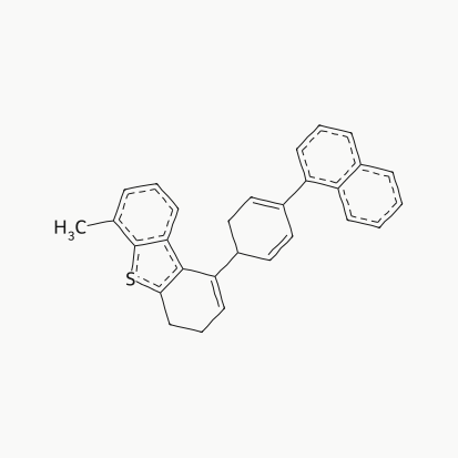 Cc1cccc2c3c(sc12)CCC=C3C1C=CC(c2cccc3ccccc23)=CC1